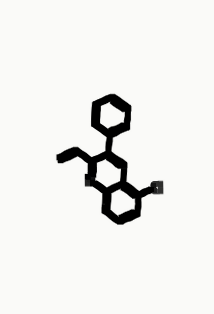 C=Cc1nc2cccc(Cl)c2cc1-c1ccccc1